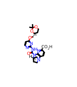 CC1(C)OCC[C@H](COc2ccnc(NC(=O)N3c4nc(C(=O)O)ccc4N4CC[C@H]3C4)n2)O1